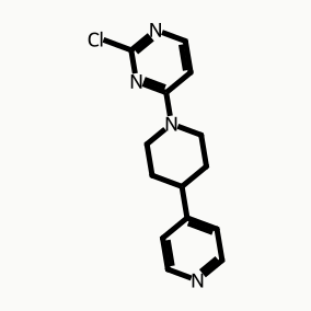 Clc1nccc(N2CCC(c3ccncc3)CC2)n1